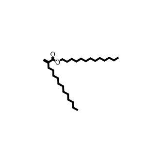 C=C(CCCCCCCCCCCC)C(=O)OCCCCCCCCCCCCC